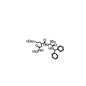 CCCCCCCCCCCCC(CC(=O)NO)C(=O)N[C@H](C(=O)NC(c1ccccc1)c1ccccc1)C(C)(C)C